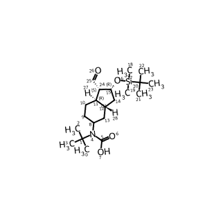 CC(C)(C)N(C(=O)O)C1CC[C@@H]2[C@@H](C1)C[C@@H](O[Si](C)(C)C(C)(C)C)[C@H]2C=O